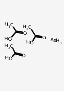 CC(=O)O.CC(=O)O.CC(=O)O.[AsH3]